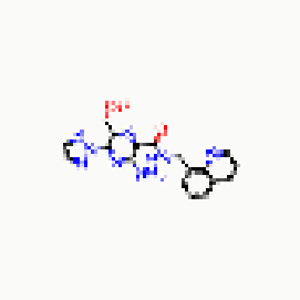 Nc1nc(-n2nccn2)c(CO)nc1C(=O)NCc1cccc2cccnc12